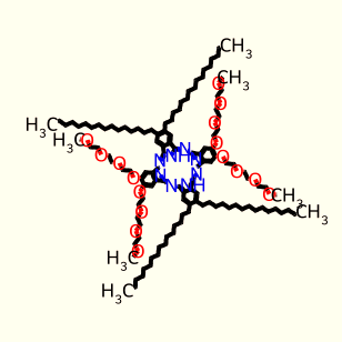 CCCCCCCCCCCCCCCCc1cc2c3nc4nc(nc5[nH]c(nc6nc(nc([nH]3)c2cc1CCCCCCCCCCCCCCCC)-c1cc(OCCOCCOCCOC)c(OCCOCCOCCOC)cc1-6)c1cc(CCCCCCCCCCCCCCCC)c(CCCCCCCCCCCCCCCC)cc51)-c1cc(OCCOCCOCCOC)c(OCCOCCOCCOC)cc1-4